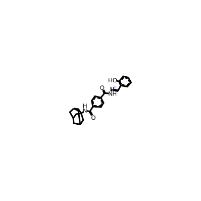 O=C(N/N=C/c1ccccc1O)c1ccc(C(=O)NC23CC4CC(CC(C4)C2)C3)cc1